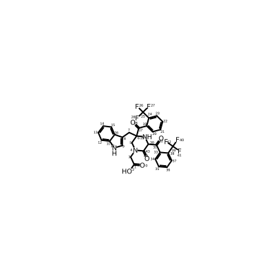 O=C(O)CN1CC(Cc2c[nH]c3ccccc23)(C(=O)c2ccccc2C(F)(F)F)NC(C(=O)c2ccccc2C(F)(F)F)C1=O